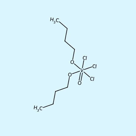 CCCC[O][V](=[O])([Cl])([Cl])([Cl])[O]CCCC